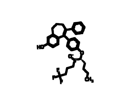 CCCC[C@@H](Oc1ccc(C2=C(c3ccccc3)CCCc3cc(O)ccc32)cc1)[S+]([O-])CCCC(F)(F)F